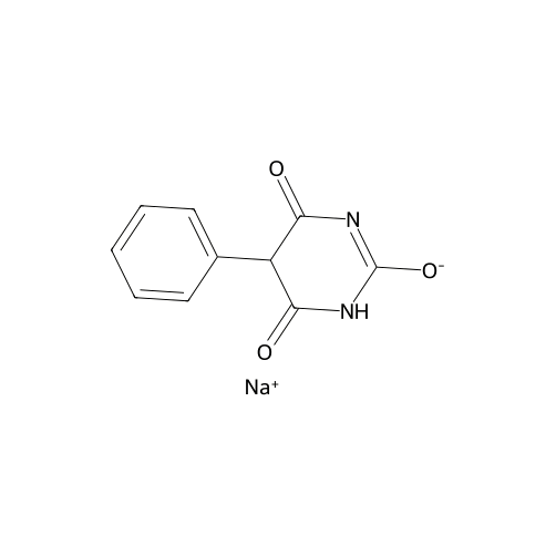 O=C1N=C([O-])NC(=O)C1c1ccccc1.[Na+]